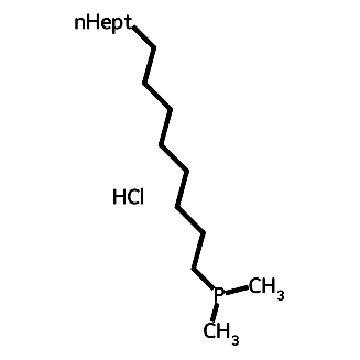 CCCCCCCCCCCCCCCP(C)C.Cl